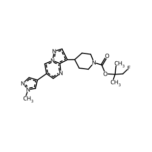 Cn1cc(-c2cnc3c(C4CCN(C(=O)OC(C)(C)CF)CC4)cnn3c2)cn1